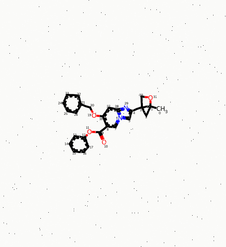 CC12CC1(c1cn3cc(C(=O)Oc4ccccc4)c(OCc4ccccc4)cc3n1)CO2